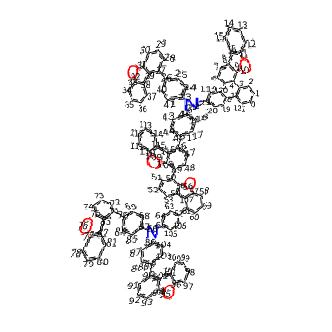 c1ccc(-c2cccc3c2oc2ccccc23)c(-c2ccc(N(c3ccc(-c4cccc5oc6ccccc6c45)cc3)c3ccc(-c4ccc(-c5cccc6c5oc5cccc(-c7ccc(N(c8ccc(-c9cccc%10oc%11ccccc%11c9%10)cc8)c8ccc(-c9cccc%10oc%11ccccc%11c9%10)cc8)cc7)c56)c5oc6ccccc6c45)cc3)cc2)c1